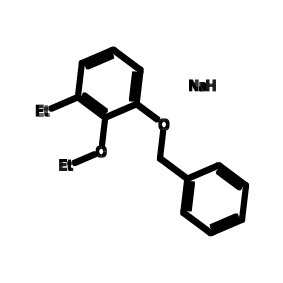 [CH2]Cc1cccc(OCc2ccccc2)c1OCC.[NaH]